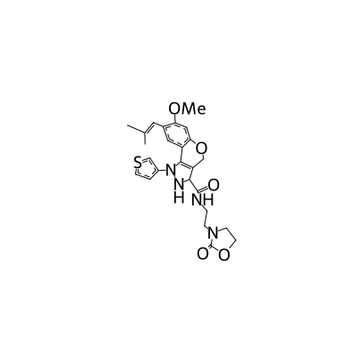 COc1cc2c(cc1C=C(C)C)C1=C(CO2)C(C(=O)NCCN2CCOC2=O)NN1c1ccsc1